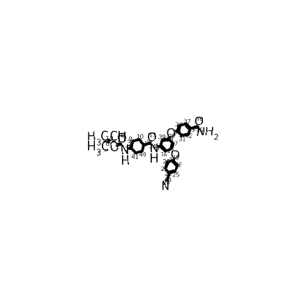 CC(C)(C)OC(=O)NC1CCC(C(=O)Nc2cc(Oc3ccc(C#N)cc3)cc(Oc3ccc(C(N)=O)cc3)c2)CC1